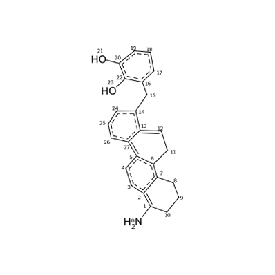 NC1=c2ccc3c(c2CCC1)CC=c1c(Cc2cccc(O)c2O)cccc1=3